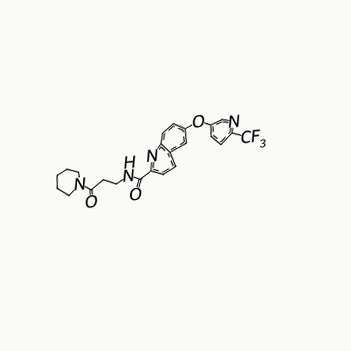 O=C(NCCC(=O)N1CCCCC1)c1ccc2cc(Oc3ccc(C(F)(F)F)nc3)ccc2n1